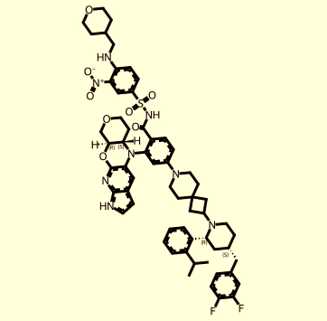 CC(C)c1ccccc1[C@H]1C[C@@H](Cc2ccc(F)c(F)c2)CCN1C1CC2(CCN(c3ccc(C(=O)NS(=O)(=O)c4ccc(NCC5CCOCC5)c([N+](=O)[O-])c4)c(N4c5cc6cc[nH]c6nc5O[C@H]5COCC[C@@H]54)c3)CC2)C1